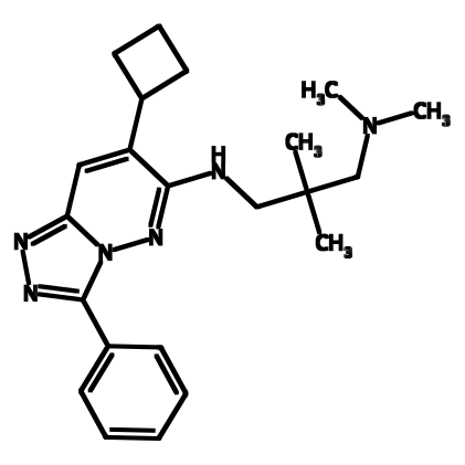 CN(C)CC(C)(C)CNc1nn2c(-c3ccccc3)nnc2cc1C1CCC1